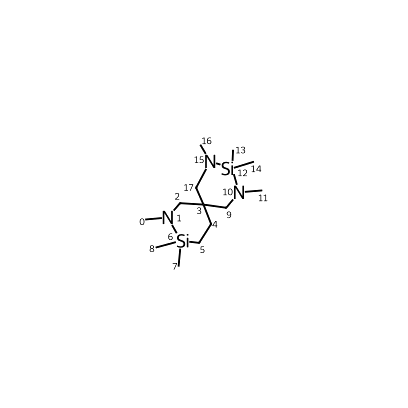 CN1CC2(CC[Si]1(C)C)CN(C)[Si](C)(C)N(C)C2